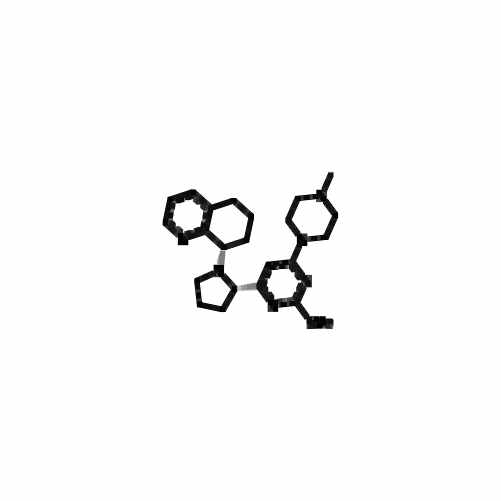 CSc1nc([C@@H]2CCCN2[C@H]2CCCc3cccnc32)cc(N2CCN(C)CC2)n1